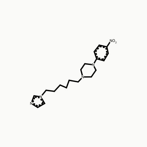 O=[N+]([O-])c1ccc(N2CCN(CCCCCCn3ccnc3)CC2)cc1